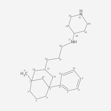 CC12CCCC(c3ccccc3)(CC(CCCNC3CCNCC3)C1)C2